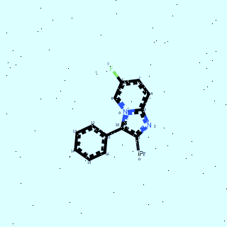 CC(C)c1nc2ccc(F)cn2c1-c1ccccc1